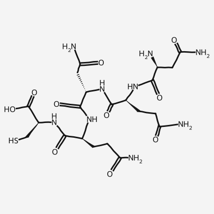 NC(=O)CC[C@H](NC(=O)[C@H](CC(N)=O)NC(=O)[C@H](CCC(N)=O)NC(=O)[C@@H](N)CC(N)=O)C(=O)N[C@@H](CS)C(=O)O